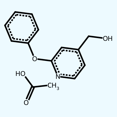 CC(=O)O.OCc1ccnc(Oc2ccccc2)c1